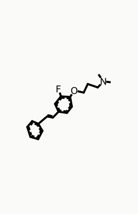 CN(C)CCCOc1ccc(/C=C/c2ccccc2)cc1F